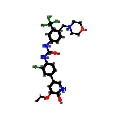 CCOc1cc(-c2ccc(NC(=O)Nc3ccc(CN4CCOCC4)c(C(F)(F)F)c3)c(F)c2)c[nH]c1=O